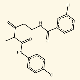 C=C(CCNC(=O)c1cccc(Cl)c1)C(C)C(=O)Nc1ccc(Cl)cc1